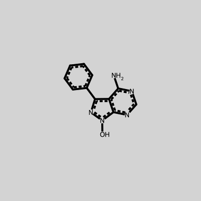 Nc1ncnc2c1c(-c1ccccc1)nn2O